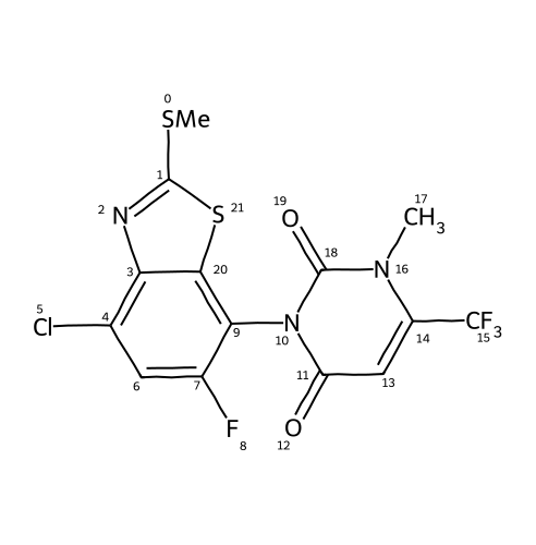 CSc1nc2c(Cl)cc(F)c(-n3c(=O)cc(C(F)(F)F)n(C)c3=O)c2s1